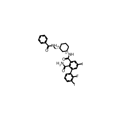 NC(=O)c1c(C(=O)N[C@H]2CCC[C@@H](CNC(=O)c3ccccc3)C2)cc(I)cc1-c1cccc(I)c1F